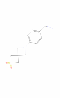 NCc1ccc(N2CC3(C2)CS(=O)(=O)C3)cc1